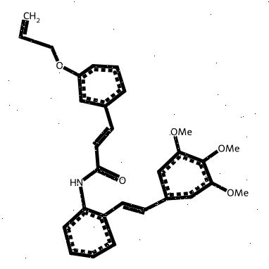 C=CCOc1cccc(/C=C/C(=O)Nc2ccccc2C=Cc2cc(OC)c(OC)c(OC)c2)c1